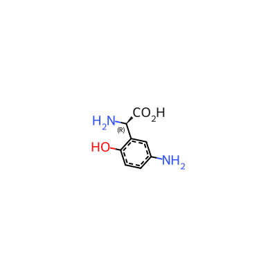 Nc1ccc(O)c([C@@H](N)C(=O)O)c1